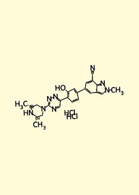 C[C@@H]1CN(c2ncc(-c3ccc(-c4cc(C#N)c5nn(C)cc5c4)cc3O)nn2)C[C@H](C)N1.Cl.Cl